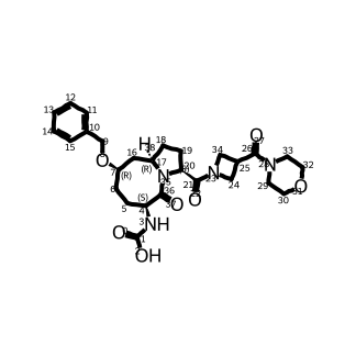 O=C(O)N[C@H]1CC[C@@H](OCc2ccccc2)C[C@H]2CC[C@@H](C(=O)N3CC(C(=O)N4CCOCC4)C3)N2C1=O